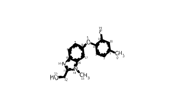 Cc1ccc(Oc2ccc3nc(CO)n(C)c3c2)c(F)c1